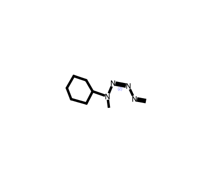 C=N/N=N\N(C)C1CCCCC1